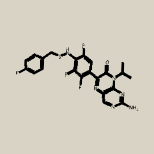 CC(C)n1c(=O)c(-c2cc(F)c(NSCc3ccc(F)cc3)c(F)c2F)nc2cnc(N)nc21